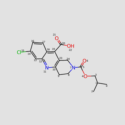 CC(C)COC(=O)N1CCc2nc3cc(Cl)ccc3c(C(=O)O)c2C1